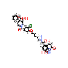 O=C(c1ccc(OCCCCCNCC(O)c2ccc(O)c3[nH]c(=O)ccc23)c(Cl)c1)N1CCC(C(=O)O)(c2ccccc2)CC1